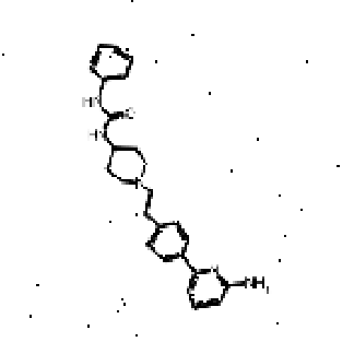 Nc1cccc(-c2ccc(CCN3CCC(NC(=O)Nc4ccccc4)CC3)cc2)n1